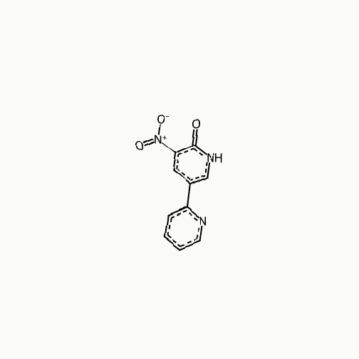 O=c1[nH]cc(-c2ccccn2)cc1[N+](=O)[O-]